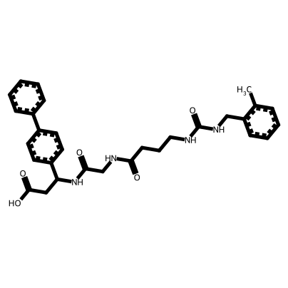 Cc1ccccc1CNC(=O)NCCCC(=O)NCC(=O)NC(CC(=O)O)c1ccc(-c2ccccc2)cc1